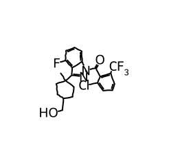 CC1(c2nn(C(=O)c3c(Cl)cccc3C(F)(F)F)c3cccc(F)c23)CCC(CO)CC1